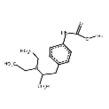 CC(C)(C)OC(=O)Nc1ccc(CC(C(=O)O)N(CC(=O)O)CC(=O)O)cc1